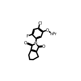 CCCOc1cc(N2C(=O)C3=C(CCCC3)C2=O)c(F)cc1Cl